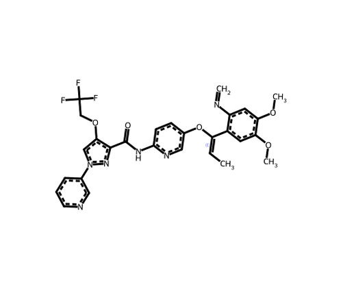 C=Nc1cc(OC)c(OC)cc1/C(=C\C)Oc1ccc(NC(=O)c2nn(-c3cccnc3)cc2OCC(F)(F)F)nc1